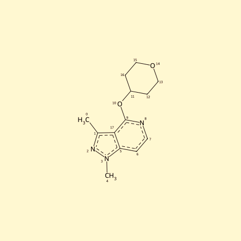 Cc1nn(C)c2ccnc(OC3CCOCC3)c12